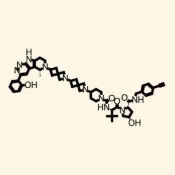 C#Cc1ccc(CNC(=O)[C@@H]2C[C@@H](O)CN2C(=O)[C@@H](NC(=O)N2CCC(N3CC4(CC(N5CC6(CC(N7CCc8[nH]c9nnc(-c%10ccccc%10O)cc9c8[C@H]7C)C6)C5)C4)C3)CC2)C(C)(C)C)cc1